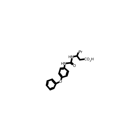 CC(C)C(CC(=O)O)NC(=O)Nc1ccc(Oc2ccccc2)cc1